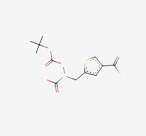 CC(C)(C)OC(=O)ON(Cc1cc(C(=N)N)cs1)C(=O)O